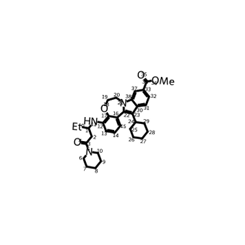 CCC(CC(=O)N1CCCCC1)Nc1cccc2c1OCCn1c-2c(C2CCCCC2)c2ccc(C(=O)OC)cc21